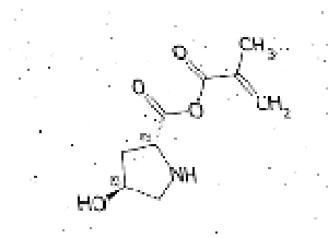 C=C(C)C(=O)OC(=O)[C@H]1C[C@H](O)CN1